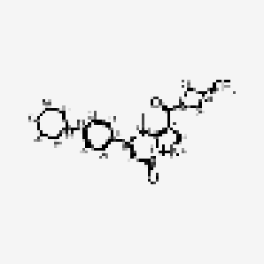 O=C(c1cnn2c(=O)cc(-c3ccc(C4CCCCC4)cc3)[nH]c12)N1CC(C(F)(F)F)C1